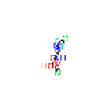 O=C(NC12CC(n3cnc(-c4c(F)cc(Cl)cc4F)c3)(C1)C2)[C@H]1C[C@@H](O)c2cc(Cl)ccc2O1